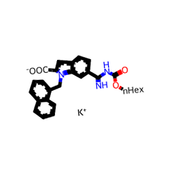 CCCCCCOC(=O)NC(=N)c1ccc2cc(C(=O)[O-])n(Cc3cccc4ccccc34)c2c1.[K+]